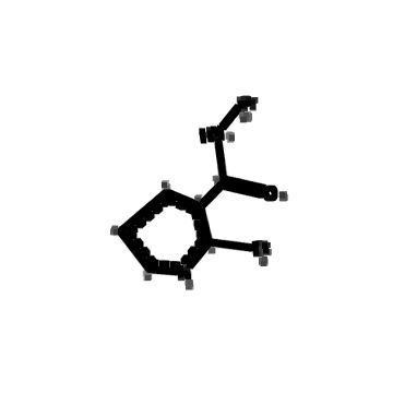 CCc1ncccc1C(=O)NC(C)C